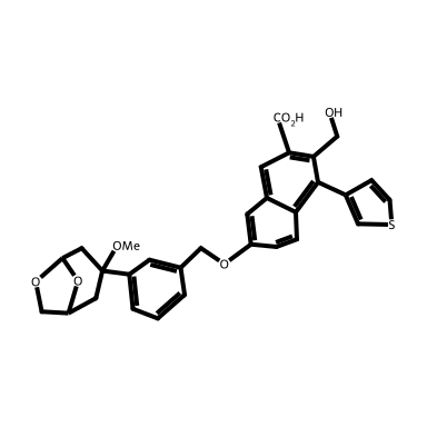 COC1(c2cccc(COc3ccc4c(-c5ccsc5)c(CO)c(C(=O)O)cc4c3)c2)CC2COC(C1)O2